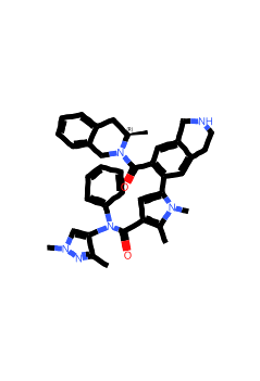 Cc1nn(C)cc1N(C(=O)c1cc(-c2cc3c(cc2C(=O)N2Cc4ccccc4C[C@H]2C)CNCC3)n(C)c1C)c1ccccc1